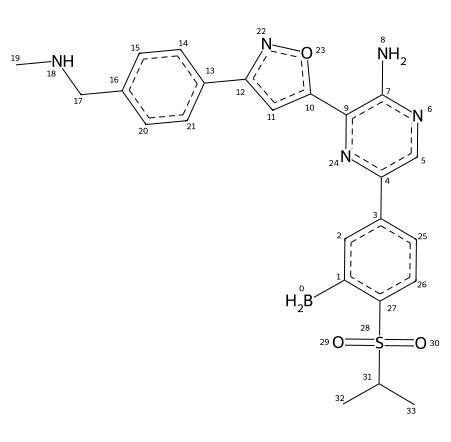 Bc1cc(-c2cnc(N)c(-c3cc(-c4ccc(CNC)cc4)no3)n2)ccc1S(=O)(=O)C(C)C